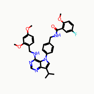 COc1ccc(CNc2ncnc3c(C(C)C)cn(-c4ccc(CNC(=O)c5cc(F)ccc5OC)cc4)c23)c(OC)c1